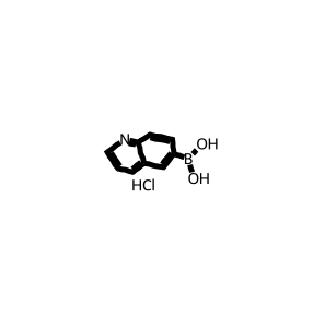 Cl.OB(O)c1ccc2ncccc2c1